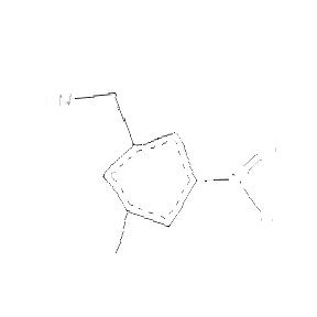 Cc1cc([C@@H](C)N)cc([N+](=O)[O-])c1